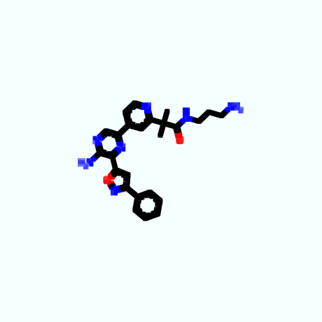 CC(C)(C(=O)NCCCN)c1cc(-c2cnc(N)c(-c3cc(-c4ccccc4)no3)n2)ccn1